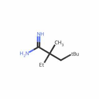 CCC(C)(CC(C)(C)C)C(=N)N